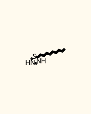 CCCCCCCCCC1NCNCS1